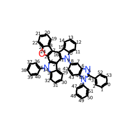 c1ccc(-c2nc3cc(-n4c5ccccc5c5c6c7ccccc7oc6c6c(c7ccccc7n6-c6ccccc6)c54)ccc3n2-c2ccccc2)cc1